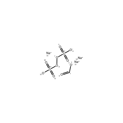 O=C[O-].O=S(=O)([O-])OOS(=O)(=O)[O-].[Na+].[Na+].[Na+]